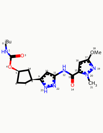 CCC(C)NC(=O)O[C@@H]1CC[C@H](c2cc(NC(=O)c3cc(OC)nn3C)n[nH]2)C1